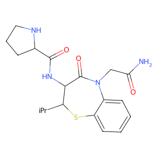 CC(C)C1Sc2ccccc2N(CC(N)=O)C(=O)C1NC(=O)C1CCCN1